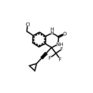 O=C1Nc2cc(CCl)ccc2C(C#CC2CC2)(C(F)(F)F)N1